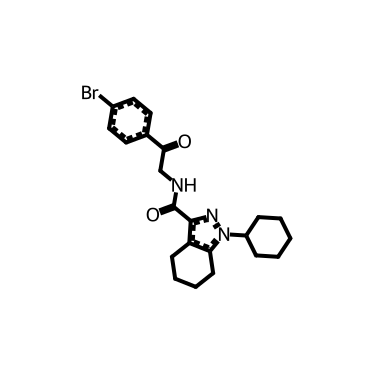 O=C(CNC(=O)c1nn(C2CCCCC2)c2c1CCCC2)c1ccc(Br)cc1